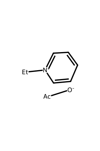 CC(=O)[O-].CC[n+]1ccccc1